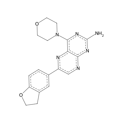 Nc1nc(N2CCOCC2)c2nc(-c3ccc4c(c3)CCO4)cnc2n1